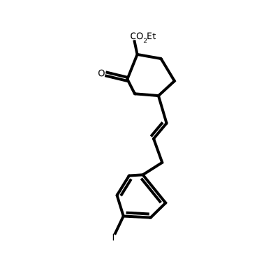 CCOC(=O)C1CCC(/C=C/Cc2ccc(I)cc2)CC1=O